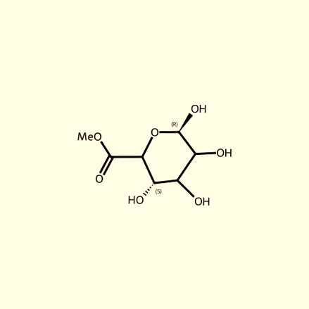 COC(=O)C1O[C@@H](O)C(O)C(O)[C@@H]1O